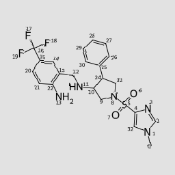 Cn1cnc(S(=O)(=O)N2CC(NCc3cc(C(F)(F)F)ccc3N)C(c3ccccc3)C2)c1